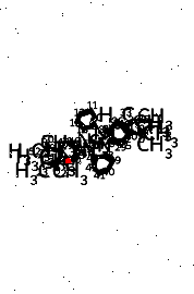 CC(C)(C)c1ccc(N2c3ccccc3N(c3ccc(C(C)(C)C)cc3)[Si]23N(c2ccc(C(C)(C)C)cc2)c2ccccc2N3c2ccc(C(C)(C)C)cc2)cc1